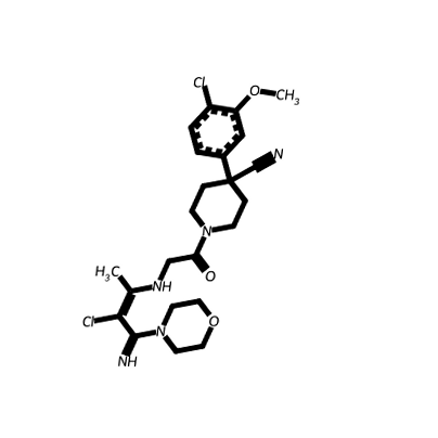 COc1cc(C2(C#N)CCN(C(=O)CN/C(C)=C(/Cl)C(=N)N3CCOCC3)CC2)ccc1Cl